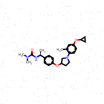 Cc1cc(OC2CC2)ccc1N1CCC(Oc2ccc([C@H](C)NC(=O)N(C)C)cc2)C1